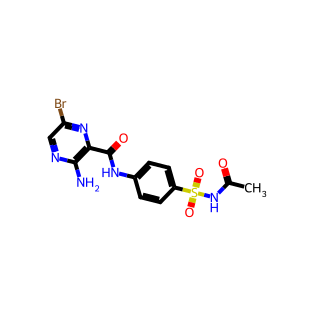 CC(=O)NS(=O)(=O)c1ccc(NC(=O)c2nc(Br)cnc2N)cc1